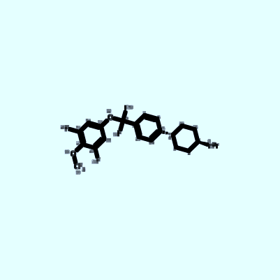 CCC[C@H]1CC[C@H](c2ccc(C(F)(F)Oc3cc(F)c(OC(F)(F)F)c(F)c3)cc2)CC1